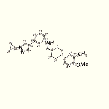 COc1ncc([C@H]2CC[C@H](CNc3cccc(-c4cnn(C5CC5)c4)c3)CC2)cc1C